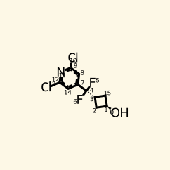 O[C@H]1C[C@H](C(F)(F)c2cc(Cl)nc(Cl)c2)C1